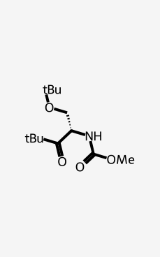 COC(=O)N[C@@H](COC(C)(C)C)C(=O)C(C)(C)C